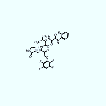 CC(C)[C@H](NC(=O)C(=O)Nc1ccccc1F)C(=O)N[C@@H](C[C@@H]1CCNC1=O)C(=O)COc1c(F)c(F)cc(F)c1F